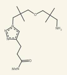 CNC(=O)CCc1cn(CC(C)(C)COCC(C)(C)CN)nn1